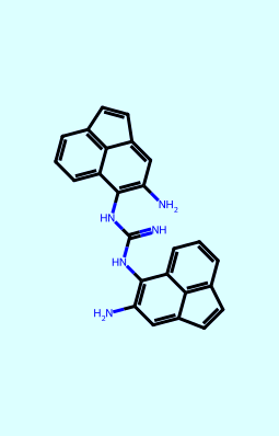 N=C(Nc1c(N)cc2c3c(cccc13)C=C2)Nc1c(N)cc2c3c(cccc13)C=C2